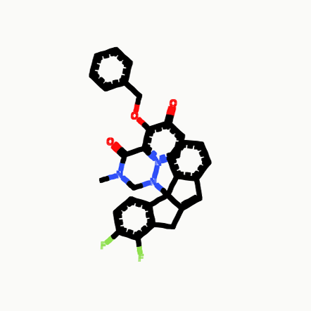 CN1CN(C23C(=Cc4ccccc42)Cc2c3ccc(F)c2F)n2ccc(=O)c(OCc3ccccc3)c2C1=O